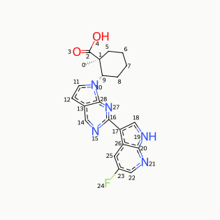 C[C@]1(C(=O)O)CCCC[C@@H]1n1ccc2cnc(-c3c[nH]c4ncc(F)cc34)nc21